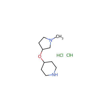 CN1CCC(OC2CCNCC2)C1.Cl.Cl